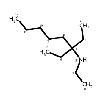 [CH2]CNC(CC)(CC)CCCCC